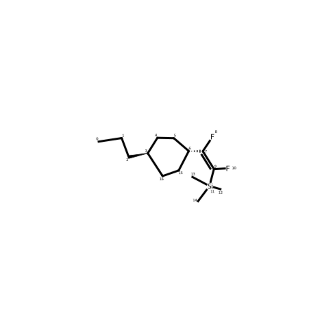 CCC[C@H]1CC[C@H](C(F)=C(F)[Si](C)(C)C)CC1